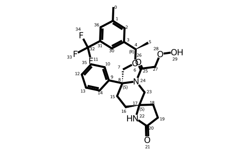 Cc1cc([C@@H](C)OC[C@@]2(c3ccccc3)CC[C@]3(CCC(=O)N3)CN2C(=O)COO)cc(C(F)(F)F)c1